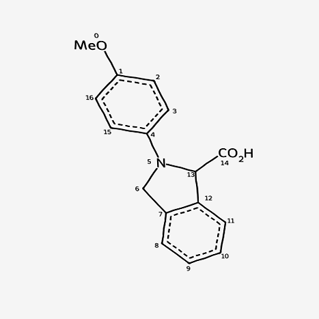 COc1ccc(N2Cc3ccccc3C2C(=O)O)cc1